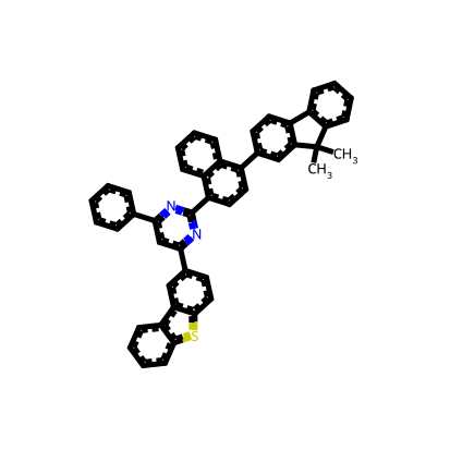 CC1(C)c2ccccc2-c2ccc(-c3ccc(-c4nc(-c5ccccc5)cc(-c5ccc6sc7ccccc7c6c5)n4)c4ccccc34)cc21